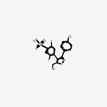 NS(=O)(=O)c1cc(F)c(-c2c(-c3ccc(C(F)(F)F)cc3)noc2CO)cc1F